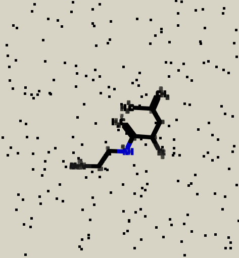 C=C(C)CC(CC)C(=C)NCCNC